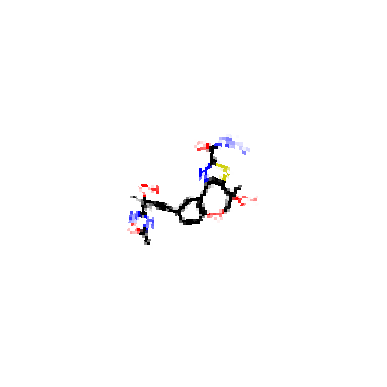 Cc1nc([C@](C)(O)C#Cc2ccc3c(c2)-c2nc(C(N)=O)sc2C(C)(O)CO3)no1